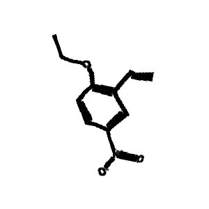 C=Cc1cc([N+](=O)[O-])ccc1OCC